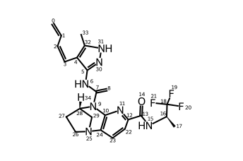 C=C/C=C\c1c(NC(=C)N2c3nc(C(=O)N[C@H](C)C(F)(F)F)ccc3N3CC[C@H]2C3)n[nH]c1C